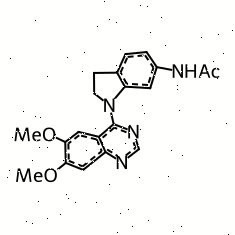 COc1cc2ncnc(N3CCc4ccc(NC(C)=O)cc43)c2cc1OC